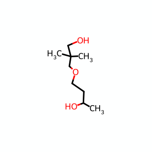 CC(O)CCOCC(C)(C)CO